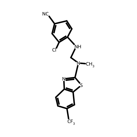 CN(CNc1ccc(C#N)cc1Cl)c1nc2ccc(C(F)(F)F)cc2s1